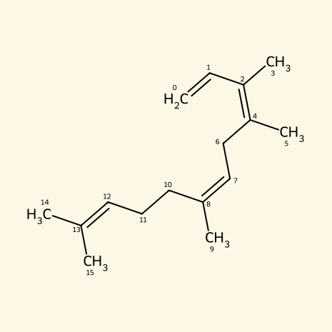 C=CC(C)=C(C)CC=C(C)CCC=C(C)C